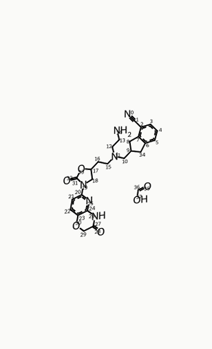 N#Cc1cccc2c1CC(CN(CCN)CCC1CN(c3ccc4c(n3)NC(=O)CO4)C(=O)O1)C2.O=CO